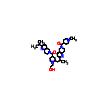 CC(C)c1ccc2c(n1)CCN(C(=O)C1CCN(CCO)C(CC(C)c3ccc4c(n3)CCN(C(=O)C3CCN(C)CC3)C4)C1)C2